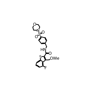 COCc1c(C(=O)NCc2ccc(S(=O)(=O)N3CCOCC3)cc2)sc2cccc(F)c12